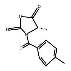 Cc1ccc(C(=O)N2C(=O)OC(=O)[C@@H]2C)cc1